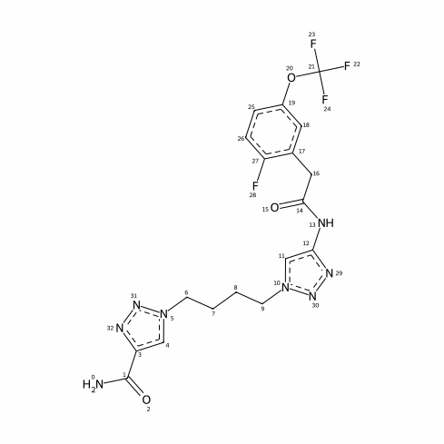 NC(=O)c1cn(CCCCn2cc(NC(=O)Cc3cc(OC(F)(F)F)ccc3F)nn2)nn1